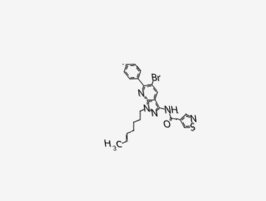 CCCCCCCn1nc(NC(=O)c2cnsc2)c2cc(Br)c(-c3cc[c]cc3)nc21